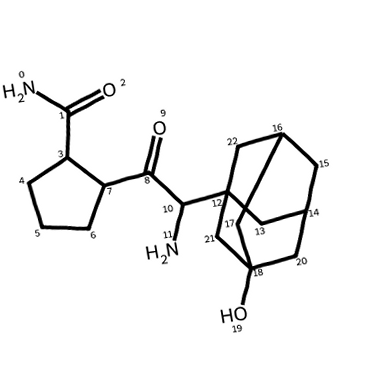 NC(=O)C1CCCC1C(=O)C(N)C12CC3CC(CC(O)(C3)C1)C2